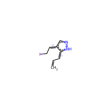 C=C/C=c1/[nH]nc/c1=C/CI